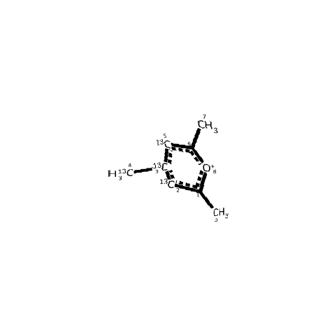 Cc1[13cH][13c]([13CH3])[13cH]c(C)[o+]1